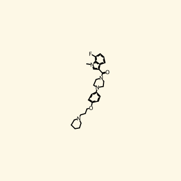 Cn1cc(C(=O)N2CCN(c3ccc(OCCCN4CCCCC4)cc3)CC2)c2cccc(F)c21